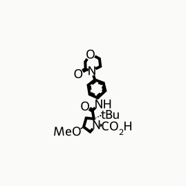 CO[C@H]1CN(C(=O)O)[C@@](C(=O)Nc2ccc(N3CCOCC3=O)cc2)(C(C)(C)C)C1